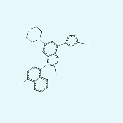 Cc1nnc(-c2cc(N3CCOCC3)cc3c2nc(C)n3-c2ccc(F)c3ccccc23)[nH]1